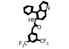 O=C(Cc1cc(C(F)(F)F)cc(C(F)(F)F)c1)Nc1ccc2ncccc2c1-c1ccccc1